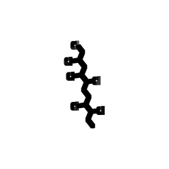 CCC(Cl)C(Cl)CCC(Cl)C(Cl)CC(Cl)CCl